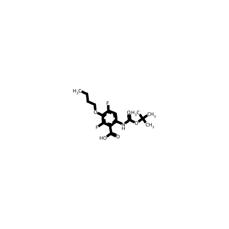 CCCCOc1c(F)cc(NC(=O)OC(C)(C)C)c(C(=O)O)c1F